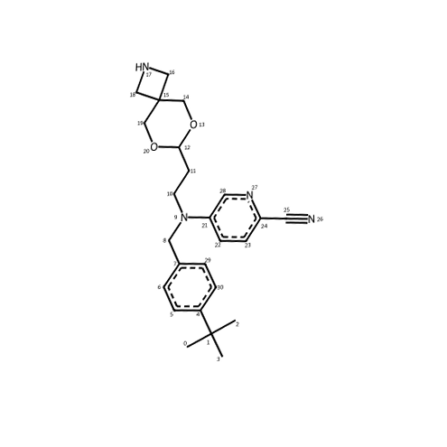 CC(C)(C)c1ccc(CN(CCC2OCC3(CNC3)CO2)c2ccc(C#N)nc2)cc1